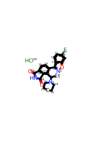 CCC(c1c(-c2noc3cc(F)ccc23)ccc2c1C(=O)NC2=O)N1CCCCC1.Cl